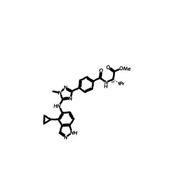 COC(=O)[C@@H](NC(=O)c1ccc(-c2nc(Nc3ccc4[nH]ncc4c3C3CC3)n(C)n2)cc1)C(C)C